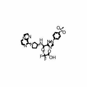 CS(=O)(=O)c1ccc(-n2cnc(C(=O)N[C@H]3CCN(c4nccn5ccnc45)C3)n2)cc1.O=C(O)C(F)(F)F